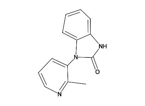 Cc1ncccc1-n1c(=O)[nH]c2ccccc21